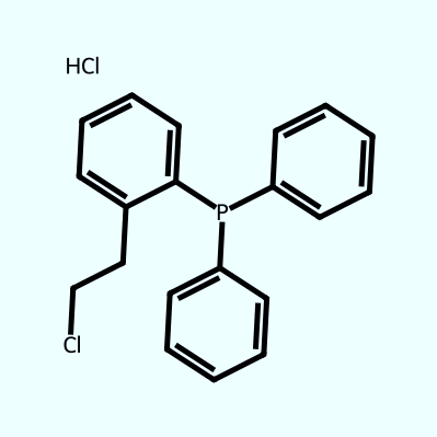 Cl.ClCCc1ccccc1P(c1ccccc1)c1ccccc1